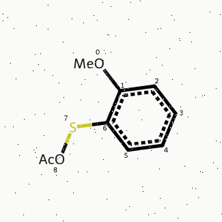 COc1ccccc1SOC(C)=O